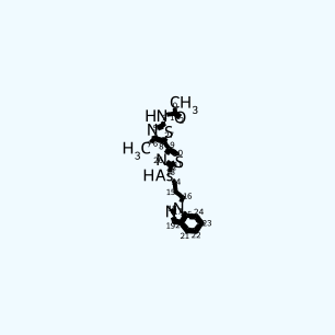 CC(=O)Nc1nc(C)c(-c2csc([AsH]CCCn3ncc4ccccc43)n2)s1